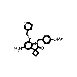 COc1ccc(CN2C(=O)C3(CCC3)c3cc(N)cc(OCc4cccnc4)c32)cc1